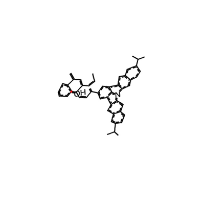 C=C(\C=C/C(=C\C)C(/C=C\C)=C\C(=C)c1ccccc1O)c1cc2c3cc4cc(C(C)C)ccc4cc3n3c4cc5ccc(C(C)C)cc5cc4c(c1)c23